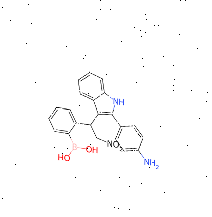 Nc1ccc(-c2[nH]c3ccccc3c2C(C[N+](=O)[O-])c2ccccc2B(O)O)cc1